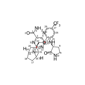 NC(=O)c1cc(N[C@H]2CCNC2=O)nc(N2[C@@H]3CC[C@H]2C[C@@H](COc2ccc(C(F)(F)F)cn2)C3)n1